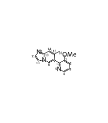 COc1cccnc1-c1cn2ccnc2[c]c1C